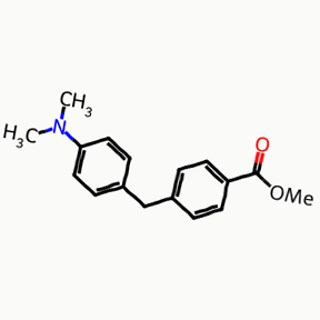 COC(=O)c1ccc(Cc2ccc(N(C)C)cc2)cc1